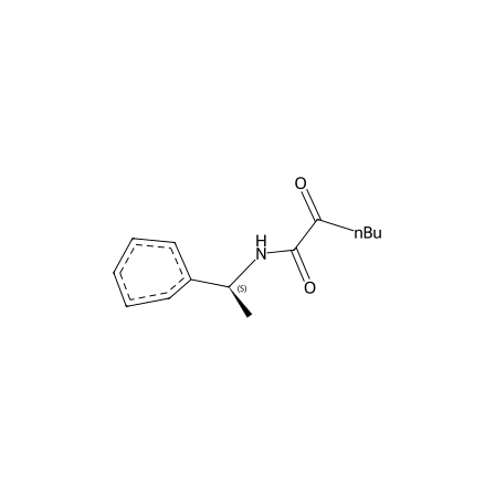 CCCCC(=O)C(=O)N[C@@H](C)c1ccccc1